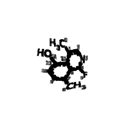 Cc1cnc(F)c2c(C)ccc(O)c12